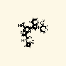 CNc1cc(-c2cn([C@H]3CCOC[C@@H]3OC)c3ncccc23)nc2c(C(=O)N[C@@H]3CC[C@@H]3F)cnn12